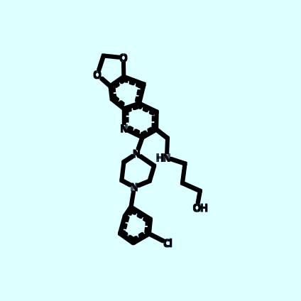 OCCCNCc1cc2cc3c(cc2nc1N1CCN(c2cccc(Cl)c2)CC1)OCO3